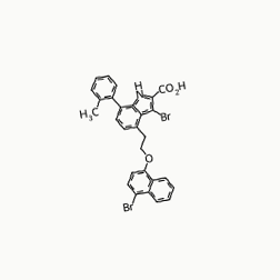 Cc1ccccc1-c1ccc(CCOc2ccc(Br)c3ccccc23)c2c(Br)c(C(=O)O)[nH]c12